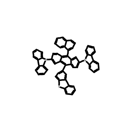 c1ccc2c(-c3c4ccc(-n5c6ccccc6c6ccccc65)cc4c(-c4ccc5sc6ccccc6c5c4)c4ccc(-n5c6ccccc6c6ccccc65)cc34)cccc2c1